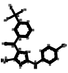 Nc1nc(Nc2ccc(Cl)cc2)sc1C(=O)c1cccc(C(F)(F)F)c1